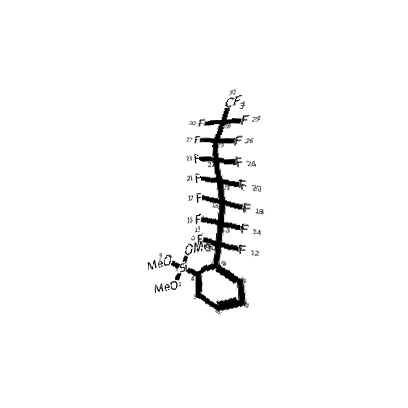 CO[Si](OC)(OC)c1ccccc1C(F)(F)C(F)(F)C(F)(F)C(F)(F)C(F)(F)C(F)(F)C(F)(F)C(F)(F)F